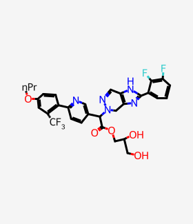 CCCOc1ccc(-c2ccc(C(C(=O)OCC(O)CO)N3Cc4nc(-c5cccc(F)c5F)[nH]c4C=N3)cn2)c(C(F)(F)F)c1